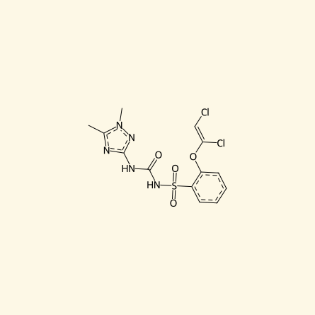 Cc1nc(NC(=O)NS(=O)(=O)c2ccccc2O/C(Cl)=C/Cl)nn1C